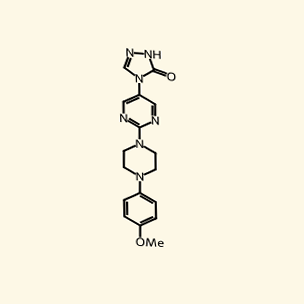 COc1ccc(N2CCN(c3ncc(-n4cn[nH]c4=O)cn3)CC2)cc1